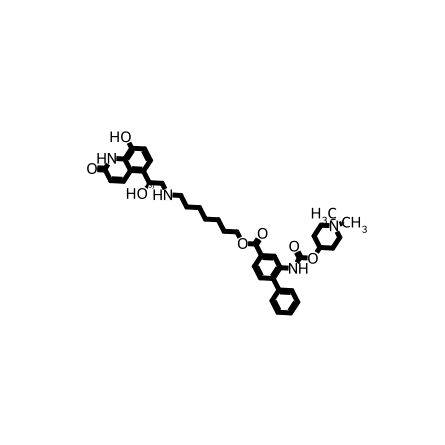 C[N+]1(C)CCC(OC(=O)Nc2cc(C(=O)OCCCCCCCNC[C@@H](O)c3ccc(O)c4[nH]c(=O)ccc34)ccc2-c2ccccc2)CC1